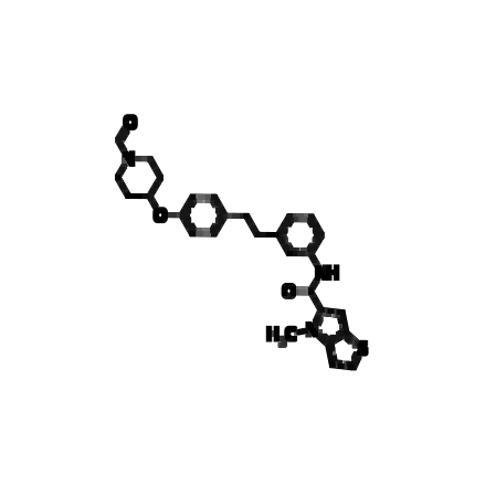 Cn1c(C(=O)Nc2cccc(CCc3ccc(OC4CCN(C=O)CC4)cc3)c2)cc2sccc21